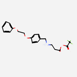 O=C(CCNCc1ccc(OCCOc2ccccc2)cc1)OC(=O)C(F)(F)F